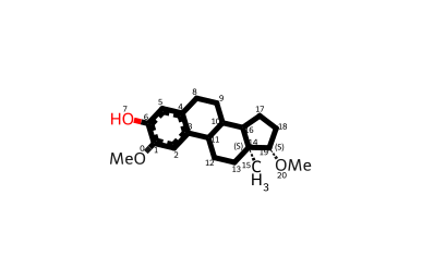 COc1cc2c(cc1O)CCC1C2CC[C@@]2(C)C1CC[C@@H]2OC